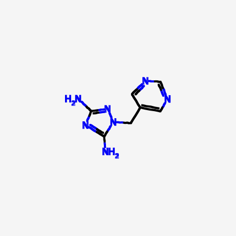 Nc1nc(N)n(Cc2cncnc2)n1